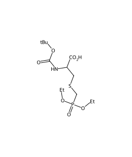 CCOP(=O)(CSCC(NC(=O)OC(C)(C)C)C(=O)O)OCC